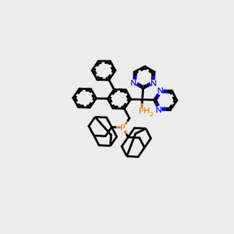 PC(c1ncccn1)(c1ncccn1)c1cc(-c2ccccc2)c(-c2ccccc2)cc1CP(C12CC3CC(CC(C3)C1)C2)C12CC3CC(CC(C3)C1)C2